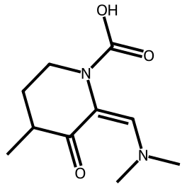 CC1CCN(C(=O)O)C(=CN(C)C)C1=O